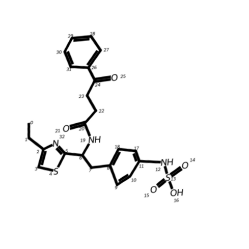 CCc1csc(C(Cc2ccc(NS(=O)(=O)O)cc2)NC(=O)CCC(=O)c2ccccc2)n1